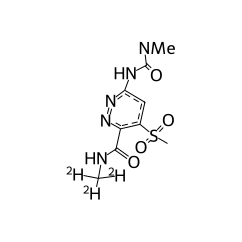 [2H]C([2H])([2H])NC(=O)c1nnc(NC(=O)NC)cc1S(C)(=O)=O